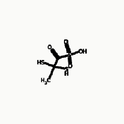 CC(S)(S)C(=O)S(=O)(=O)O